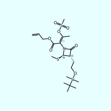 C=CCOC(=O)/C(=C(/C)OS(C)(=O)=O)N1C(=O)[C@H](CCO[Si](C)(C)C(C)(C)C)[C@H]1SC